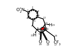 O=[N+]([O-])c1ccc2c(c1)C[C@H]1CC[C@@H](C2)[C@]12CN(CC(F)(F)F)S(=O)(=O)N2